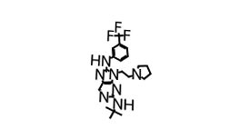 CC(C)(C)Nc1ncc2nc(Nc3cccc(C(F)(F)F)c3)n(CCN3CCCC3)c2n1